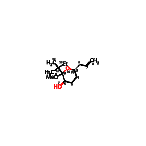 C=CC[C@@H]1CCC(O)C(OC)(C(C)(C)CC)O1